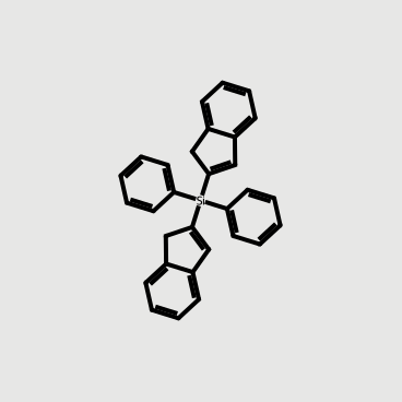 C1=C([Si](C2=Cc3ccccc3C2)(c2ccccc2)c2ccccc2)Cc2ccccc21